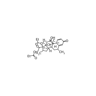 CCC(=O)OCC(=O)[C@@]1(OC(=O)CC)C(C)C[C@H]2[C@@H]3CC(C)C4=CC(=O)C=C[C@]4(C)[C@@]3(Cl)C(O)C[C@@]21C